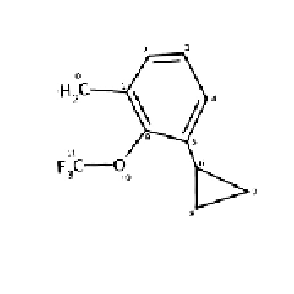 [CH2]c1cccc(C2CC2)c1OC(F)(F)F